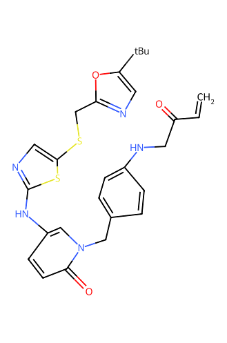 C=CC(=O)CNc1ccc(Cn2cc(Nc3ncc(SCc4ncc(C(C)(C)C)o4)s3)ccc2=O)cc1